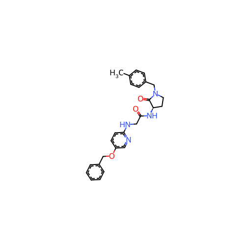 Cc1ccc(CN2CC[C@@H](NC(=O)CNc3ccc(OCc4ccccc4)cn3)C2=O)cc1